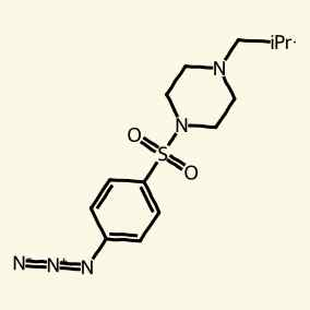 C[C](C)CN1CCN(S(=O)(=O)c2ccc(N=[N+]=[N-])cc2)CC1